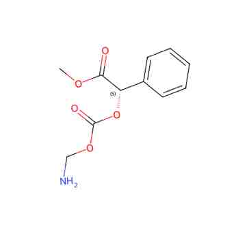 COC(=O)[C@@H](OC(=O)OCN)c1ccccc1